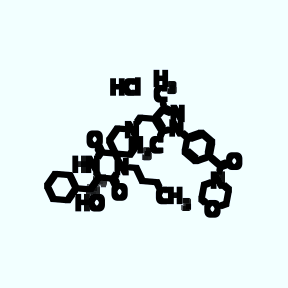 CCCCN1C(=O)[C@@H]([C@H](O)C2CCCCC2)NC(=O)C12CCN(Cc1c(C)nn(-c3ccc(C(=O)N4CCOCC4)cc3)c1C)CC2.Cl